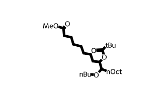 CCCCCCCCC(OCCCC)C(CCCCCCCC(=O)OC)OC(=O)C(C)(C)C